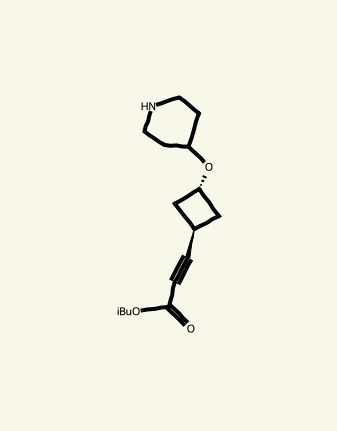 CC(C)COC(=O)C#C[C@H]1C[C@H](OC2CCNCC2)C1